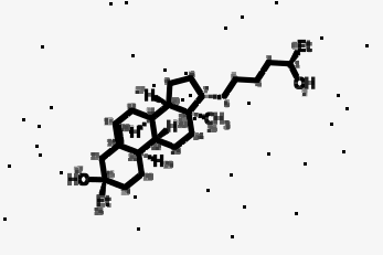 CC[C@@H](O)CCCC[C@H]1CC[C@H]2[C@@H]3CC=C4C[C@](O)(CC)CC[C@@H]4[C@H]3CC[C@]12C